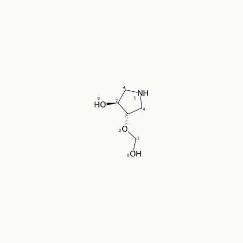 OCO[C@H]1CNC[C@@H]1O